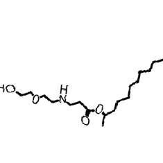 CCCCCCCCCCC(C)OC(=O)CCNCCOCCO